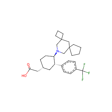 O=C(O)C[C@@H]1CC[C@@H](N2CC3(CCCC3)CC3(CCC3)C2)[C@H](c2ccc(C(F)(F)F)cc2)C1